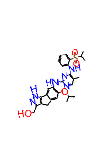 Cc1cnc(Nc2cc3c(cc2OC(C)C)Cc2c(CO)n[nH]c2-3)nc1Nc1ccccc1S(=O)(=O)C(C)C